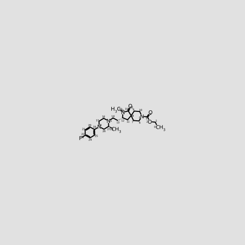 CCOC(=O)N1CCC2(CC1)C[C@H](CCN1CCN(c3ccc(F)cc3)C[C@@H]1C)N(C)C2=O